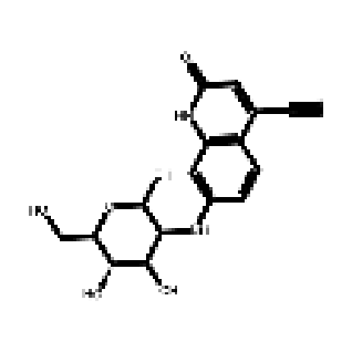 C#Cc1cc(=O)[nH]c2cc(NC3C(O)OC(CO)[C@H](O)C3O)ccc12